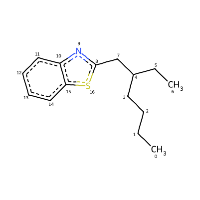 CCCCC(CC)Cc1nc2ccccc2s1